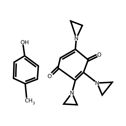 Cc1ccc(O)cc1.O=C1C=C(N2CC2)C(=O)C(N2CC2)=C1N1CC1